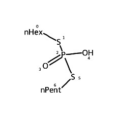 CCCCCCSP(=O)(O)SCCCCC